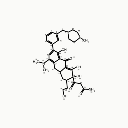 CN1CCN(Cc2cccc(-c3cc(N(C)C)c4c(c3O)C(=O)C3=C(O)[C@](O)(C(=O)CC(N)=O)C(CCO)CC3C4)c2)CC1